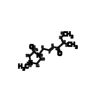 CCC(C)C(=O)/C=C/CN1CCN(C)CC1=O